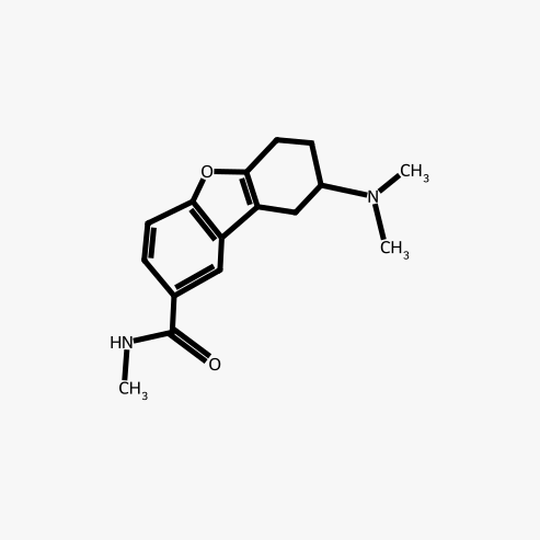 CNC(=O)c1ccc2oc3c(c2c1)CC(N(C)C)CC3